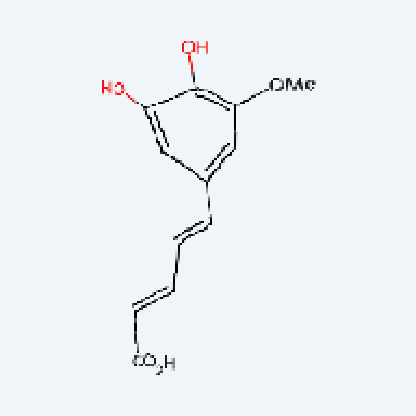 COc1cc(/C=C/C=C/C(=O)O)cc(O)c1O